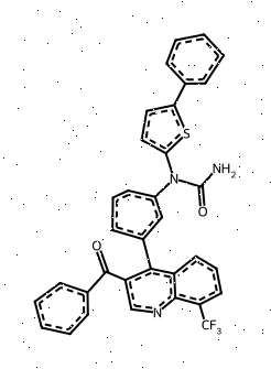 NC(=O)N(c1cccc(-c2c(C(=O)c3ccccc3)cnc3c(C(F)(F)F)cccc23)c1)c1ccc(-c2ccccc2)s1